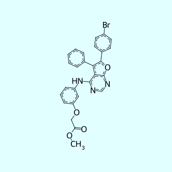 COC(=O)COc1cccc(Nc2ncnc3oc(-c4ccc(Br)cc4)c(-c4ccccc4)c23)c1